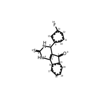 O=C1C2=C(NC(=S)NC2c2cccc(F)c2)c2ccccc21